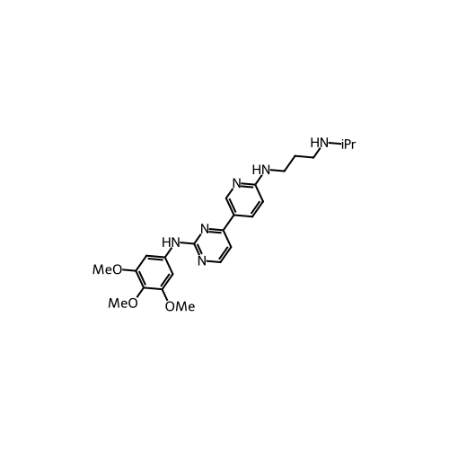 COc1cc(Nc2nccc(-c3ccc(NCCCNC(C)C)nc3)n2)cc(OC)c1OC